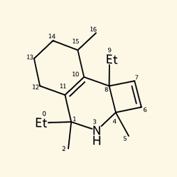 CCC1(C)NC2(C)C=CC2(CC)C2=C1CCCC2C